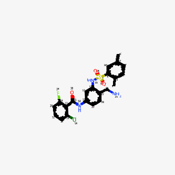 Cc1ccc(C)c(S(=O)(=O)Nc2cc(NC(=O)c3c(F)cccc3Cl)ccc2CN)c1